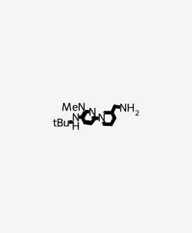 CNc1nc(N2CCCC(CN)C2)ccc1NCC(C)(C)C